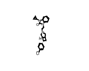 O=c1n(CCN2CC3C[C@H](c4ccc(Cl)cc4)[C@H]3C2)c2ccccc2n1C1CC1